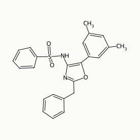 Cc1cc(C)cc(-c2oc(Cc3ccccc3)nc2NS(=O)(=O)c2ccccc2)c1